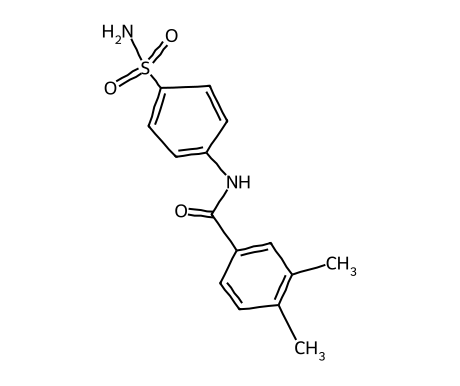 Cc1ccc(C(=O)Nc2ccc(S(N)(=O)=O)cc2)cc1C